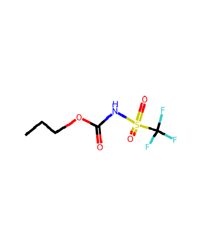 CCCOC(=O)NS(=O)(=O)C(F)(F)F